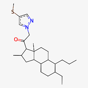 CCCC1C(CC)CCC2C1CCC1(C)C2CC(C)C1C(=O)Cn1cc(SC)cn1